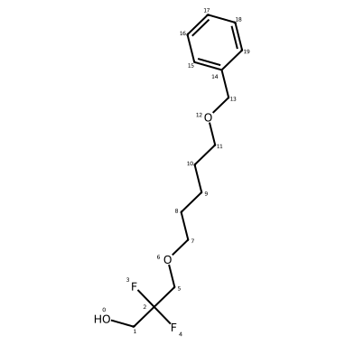 OCC(F)(F)COCCCCCOCc1ccccc1